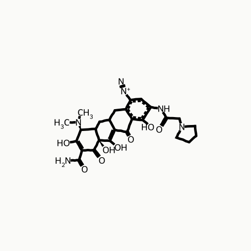 CN(C)[C@@H]1C(O)=C(C(N)=O)C(=O)[C@@]2(O)C(O)=C3C(=O)c4c(O)c(NC(=O)CN5CCCC5)cc([N+]#N)c4CC3CC12